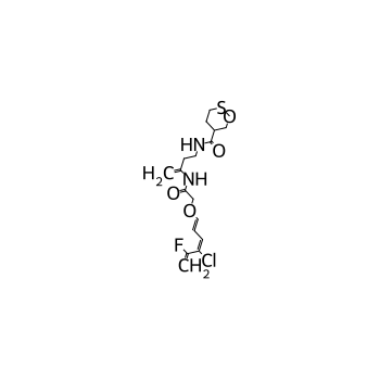 C=C(CCNC(=O)C1CCSOC1)NC(=O)CO/C=C/C=C(/Cl)C(=C)F